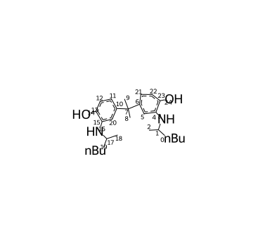 CCCCC(C)Nc1cc(C(C)(C)c2ccc(O)c(NC(C)CCCC)c2)ccc1O